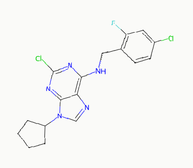 Fc1cc(Cl)ccc1CNc1nc(Cl)nc2c1ncn2C1CCCC1